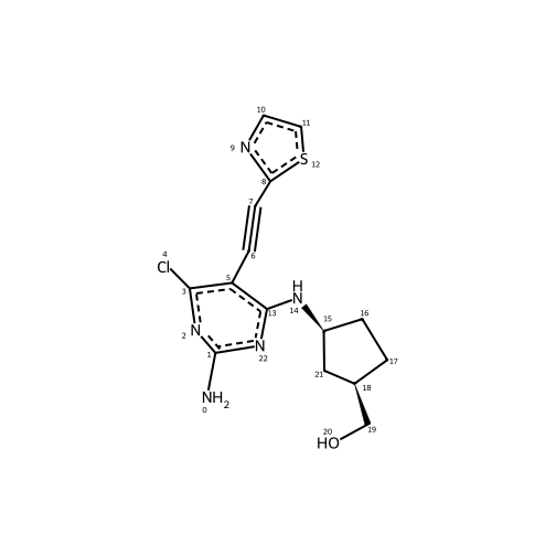 Nc1nc(Cl)c(C#Cc2nccs2)c(N[C@H]2CC[C@@H](CO)C2)n1